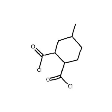 CC1CCC(C(=O)Cl)C(C(=O)Cl)C1